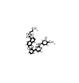 CCCS(=O)(=O)Nc1cccc2c(Oc3ncccc3-c3ccnc(NC4CCC(C)NC4)n3)c(C)ccc12